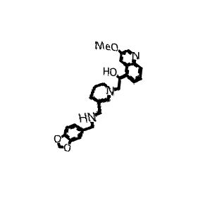 COc1cnc2cccc(C(O)CN3CCCC(CNCc4ccc5c(c4)OCO5)C3)c2c1